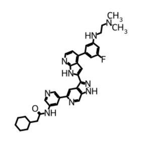 CN(C)CCNc1cc(F)cc(-c2ccnc3[nH]c(-c4n[nH]c5cnc(-c6cncc(NC(=O)CC7CCCCC7)c6)cc45)cc23)c1